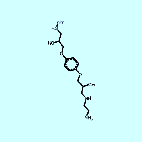 CCCNCC(O)COc1ccc(OCC(O)CNCCN)cc1